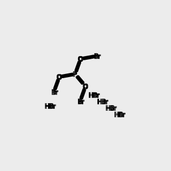 Br.Br.Br.Br.Br.BrOP(OBr)OBr